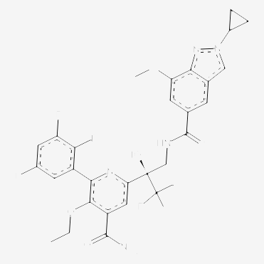 CCOc1c(C(N)=O)cc([C@](O)(CNC(=O)c2cc(OC)c3nn(C4CC4)cc3c2)C(F)(F)F)nc1-c1cc(F)cc(F)c1F